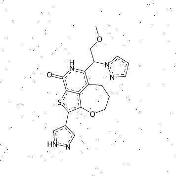 COCC(c1[nH]c(=O)c2sc(-c3cn[nH]c3)c3c2c1CCCO3)n1cccn1